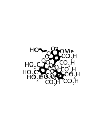 COC(=O)c1c(C(=O)O)c(C(=O)O)c(C(=O)OC(=O)c2c(C(=O)O)c(C(=O)O)c(C(=O)O)c(C(=O)O)c2C(=O)O)c(C(=O)OC(=O)c2c(C(=O)O)c(C(=O)O)c(C(=O)O)c(C(=O)O)c2C(=O)O)c1C(=O)OCCCO